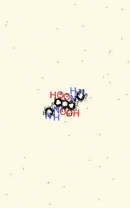 O=C1c2c(O)ccc(Nc3cccnc3)c2C(=O)c2c(O)ccc(Nc3cccnc3)c21